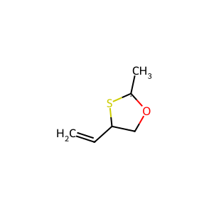 C=CC1CO[C](C)S1